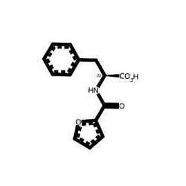 O=C(N[C@@H](Cc1ccccc1)C(=O)O)c1ccco1